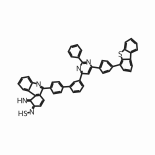 N=C1/C(=N\S)C=Cc2c(-c3ccc(-c4cccc(-c5cc(-c6ccc(-c7cccc8c7sc7ccccc78)cc6)nc(-c6ccccc6)n5)c4)cc3)nc3ccccc3c21